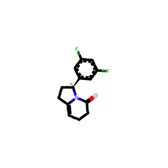 O=C1CCC=C2CC[C@@H](c3cc(F)cc(F)c3)N12